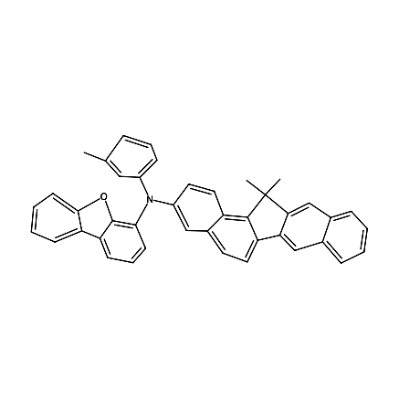 Cc1cccc(N(c2ccc3c4c(ccc3c2)-c2cc3ccccc3cc2C4(C)C)c2cccc3c2oc2ccccc23)c1